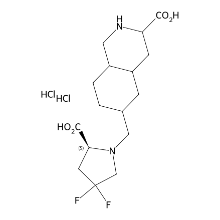 Cl.Cl.O=C(O)C1CC2CC(CN3CC(F)(F)C[C@H]3C(=O)O)CCC2CN1